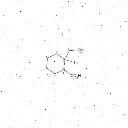 O=C(O)N1CCCCC1(I)CO